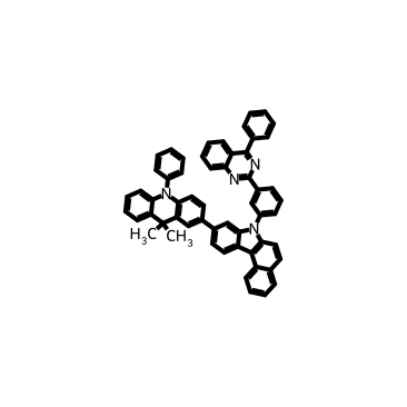 CC1(C)c2ccccc2N(c2ccccc2)c2ccc(-c3ccc4c5c6ccccc6ccc5n(-c5cccc(-c6nc(-c7ccccc7)c7ccccc7n6)c5)c4c3)cc21